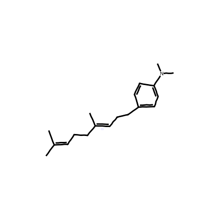 CC(C)=CCC/C(C)=C/CCc1ccc(N(C)C)cc1